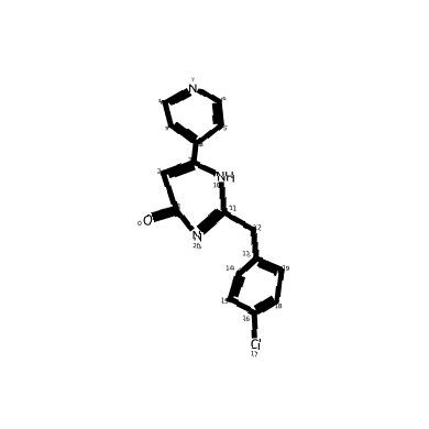 O=c1cc(-c2ccncc2)[nH]c(Cc2ccc(Cl)cc2)n1